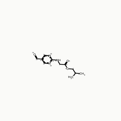 CC(C)COC(=O)CNc1ncc(C=O)cn1